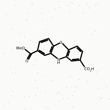 COC(=O)c1ccc2c(c1)Nc1cc(C(=O)O)ccc1S2